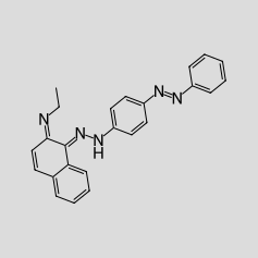 CCN=C1C=Cc2ccccc2C1=NNc1ccc(N=Nc2ccccc2)cc1